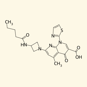 CCCCC(=O)NC1CN(c2cc(C)c3c(=O)c(C(=O)O)cn(-c4nccs4)c3n2)C1